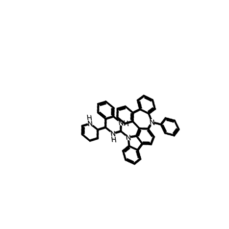 C1=CC2=C(CC1)c1c(ccc3c4ccccc4n(C4Nc5ccccc5C(C5CCC=CN5)N4)c13)N(c1ccccc1)c1ccccc12